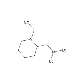 CCN(CC)CC1CCCCN1CC#N